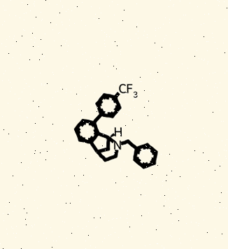 FC(F)(F)c1ccc(-c2cccc3c2[C@H]2CC3CCN2Cc2ccccc2)cc1